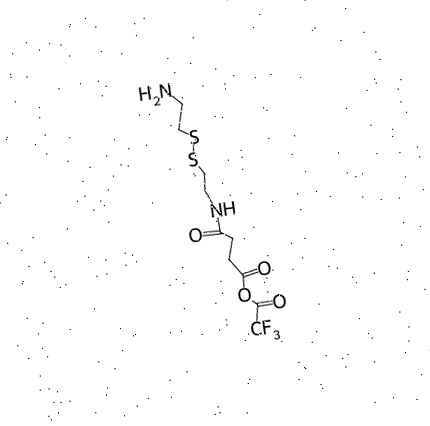 NCCSSCCNC(=O)CCC(=O)OC(=O)C(F)(F)F